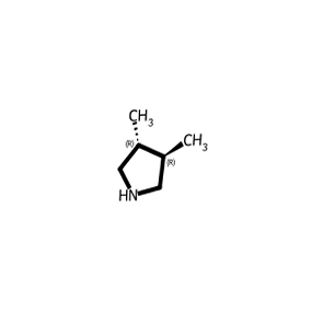 C[C@H]1CNC[C@@H]1C